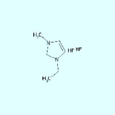 CCN1C=CN(C)C1.F.F